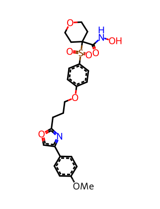 COc1ccc(-c2coc(CCCOc3ccc(S(=O)(=O)C4(C(=O)NO)CCOCC4)cc3)n2)cc1